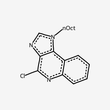 CCCCCCCCn1cnc2c(Cl)nc3ccccc3c21